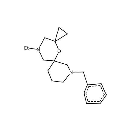 CCN1CC2(CC2)OC2(CCCN(Cc3ccccc3)C2)C1